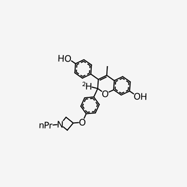 [2H]C1(c2ccc(OC3CN(CCC)C3)cc2)Oc2cc(O)ccc2C(C)=C1c1ccc(O)cc1